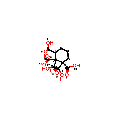 O=C(O)C1CCCC(C(=O)O)(C(=O)O)C1(C(=O)O)C(=O)O